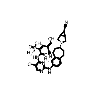 C=C(Nc1nc(Nc2ccc3c(c2)CC[C@@H](N2CC4C(C#N)C4C2)CC3)ncc1Cl)/C(=C\C(C#N)=C/C)P(C)(C)=O